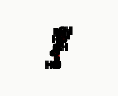 O=C(O)C=Cc1ccc(-c2ccc(OCCCC(=O)NCCSSCCNC(=O)C(Cc3ccc(O)c(Br)c3)=NO)c(C34CC5CC(CC(C5)C3)C4)c2)cc1